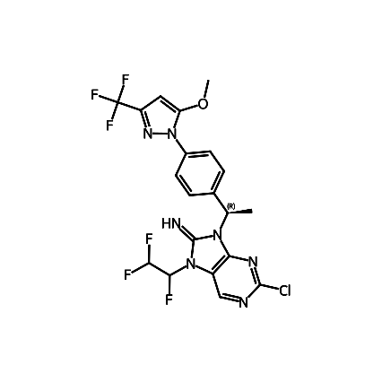 COc1cc(C(F)(F)F)nn1-c1ccc([C@@H](C)n2c(=N)n(C(F)C(F)F)c3cnc(Cl)nc32)cc1